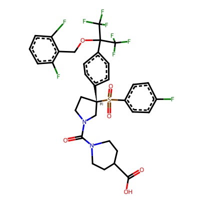 O=C(O)C1CCN(C(=O)N2CC[C@](c3ccc(C(OCc4c(F)cccc4F)(C(F)(F)F)C(F)(F)F)cc3)(S(=O)(=O)c3ccc(F)cc3)C2)CC1